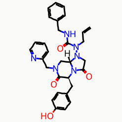 C=CCN(C(=O)NCc1ccccc1)N1CC(=O)N2[C@@H](Cc3ccc(O)cc3)C(=O)N(Cc3ccccn3)C[C@@H]21